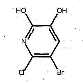 Oc1cc(Br)c(Cl)nc1O